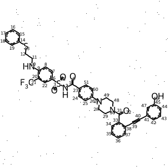 O=C(NS(=O)(=O)c1ccc(NCCSc2ccccc2)c(C(F)(F)F)c1)c1ccc(N2CCN(C(=O)c3ccccc3C#Cc3cccc(O)c3)CC2)cc1